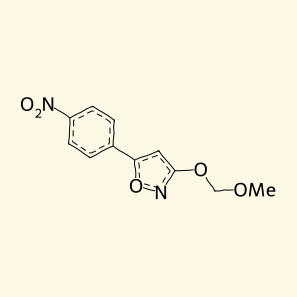 COCOc1cc(-c2ccc([N+](=O)[O-])cc2)on1